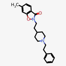 Cc1ccc2c(=O)n(CCC3CCN(CCc4ccccc4)CC3)oc2c1